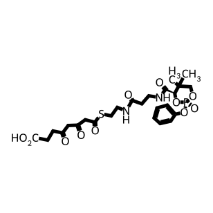 CC1(C)COP(=O)(Oc2ccccc2)O[C@H]1C(=O)NCCC(=O)NCCSC(=O)CC(=O)CC(=O)CCC(=O)O